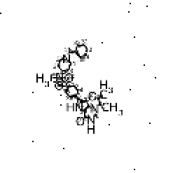 CC(=O)C(C)N1CNC(=O)c2[nH]c(-c3ccc(S(=O)(=O)N(C)C4CCN(Cc5ccccc5)CC4)cc3)cc21